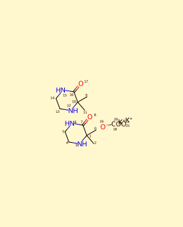 CC1(C)NCCNC1=O.CC1(C)NCCNC1=O.O=C([O-])[O-].[K+].[K+]